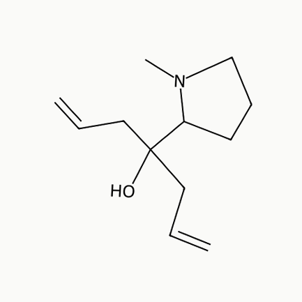 C=CCC(O)(CC=C)C1CCCN1C